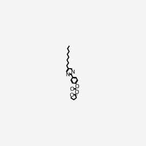 CCCCCCCCc1cnc(-c2ccc(OC(=O)O[C@@H]3CCCO3)cc2)nc1